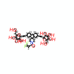 O=C(C1CC1(F)F)N1CCC2(CC1)c1cc(C#C[C@H]3O[C@H](CO)[C@@H](O)[C@H](O)[C@@H]3O)ccc1-c1ccc(C#C[C@H]3O[C@H](CCO)[C@@H](O)[C@H](O)[C@@H]3O)cc12